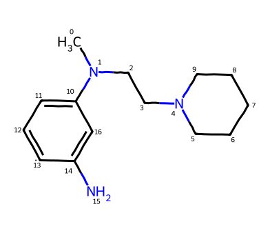 CN(CCN1CCCCC1)c1cc[c]c(N)c1